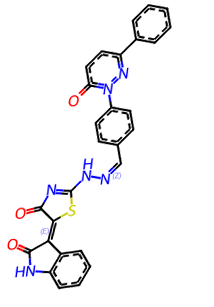 O=C1N=C(N/N=C\c2ccc(-n3nc(-c4ccccc4)ccc3=O)cc2)S/C1=C1/C(=O)Nc2ccccc21